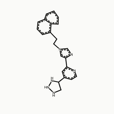 c1ccc2c(CCn3cnc(-c4cc(C5CNNN5)ccn4)c3)cccc2c1